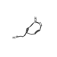 OCC1=CNOC=C1